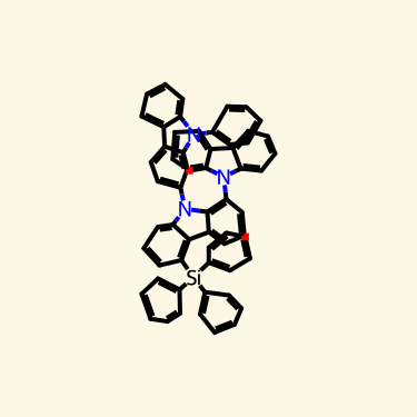 c1ccc(-n2c3ccccc3c3ccc(-n4c5cccc([Si](c6ccccc6)(c6ccccc6)c6ccccc6)c5c5cccc(-n6c7ccccc7c7ccccc76)c54)cc32)cc1